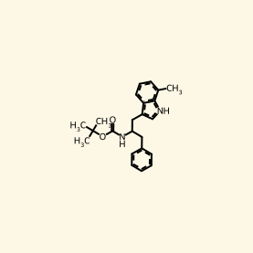 Cc1cccc2c(CC(Cc3ccccc3)NC(=O)OC(C)(C)C)c[nH]c12